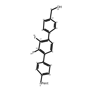 CCCCCc1ccc(-c2ccc(-c3ccc(CO)cc3)c(F)c2F)cc1